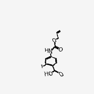 C=CCOC(=O)Nc1ccc(C(=O)O)c(F)c1